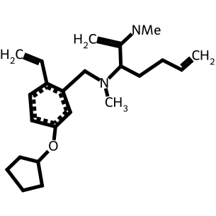 C=CCCC(C(=C)NC)N(C)Cc1cc(OC2CCCC2)ccc1C=C